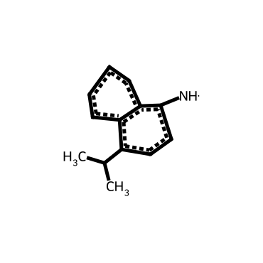 CC(C)c1ccc([NH])c2ccccc12